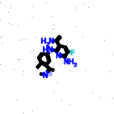 C=C(N)c1cc(F)c(N)nc1Nc1ccc(C)c(/C(C)=N\C)c1